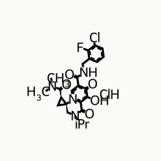 CC(C)N1C[C@]2(C[C@H]2C(=O)N(C)C)n2cc(C(=O)NCc3cccc(Cl)c3F)c(=O)c(O)c2C1=O.Cl